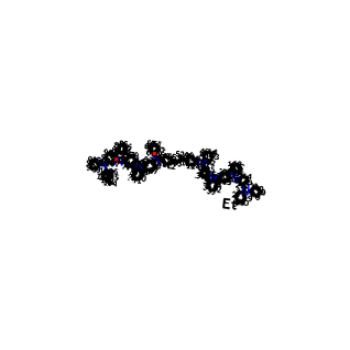 CCc1ccc(N(c2ccccc2)c2ccc3c4cccc5c6cc7c(cc6n(c3c2)c45)c2cccc3c4ccc(N(c5ccccc5)c5ccc(C(C)Cc6ccc(N(c8ccccc8)c8ccc9c%10cccc%11c%12cc%13c(cc%12n(c9c8)c%10%11)c8cccc9c%10ccc(N(c%11ccccc%11)c%11ccc(C)cc%11)cc%10n%13c98)cc6)cc5)cc4n7c32)cc1